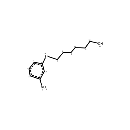 O=[N+]([O-])c1cccc(OCCCCCCO)c1